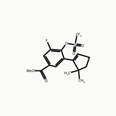 COC(=O)c1cc(F)c(OS(=O)(=O)C(F)(F)F)c(C2=CCCC2(C)C)c1